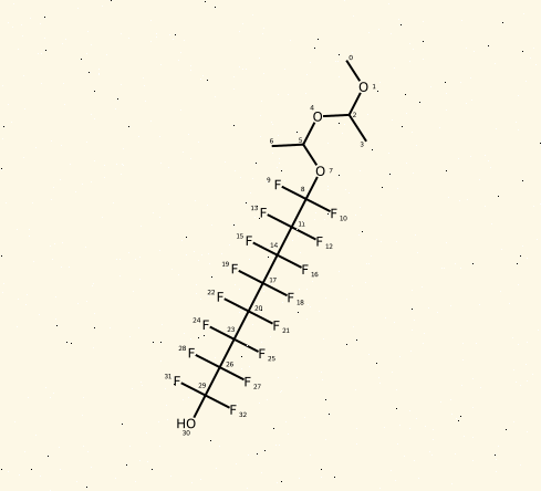 COC(C)OC(C)OC(F)(F)C(F)(F)C(F)(F)C(F)(F)C(F)(F)C(F)(F)C(F)(F)C(O)(F)F